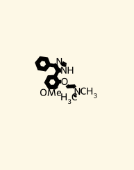 COc1cccc(-c2[nH]cnc2-c2ccccc2)c1OCCN(C)C